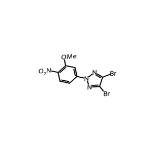 COc1cc(-n2nc(Br)c(Br)n2)ccc1[N+](=O)[O-]